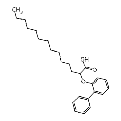 CCCCCCCCCCCCC(Oc1ccccc1-c1ccccc1)C(=O)O